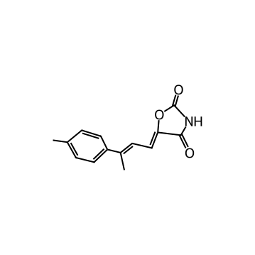 CC(=CC=C1OC(=O)NC1=O)c1ccc(C)cc1